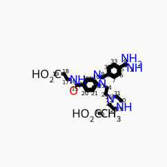 CC(=O)O.N=C(N)c1ccc(-c2nc3cc(C(=O)NCCC(=O)O)ccc3n2CCN2CCNCC2)cc1